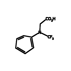 O=C(O)CN(c1ccccc1)C(F)(F)F